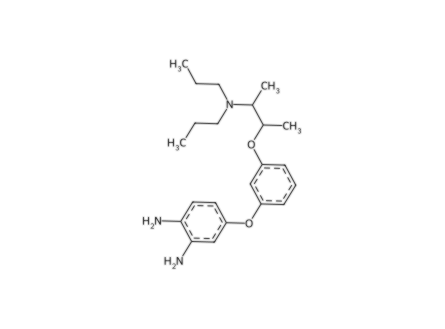 CCCN(CCC)C(C)C(C)Oc1cccc(Oc2ccc(N)c(N)c2)c1